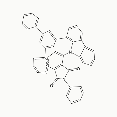 O=C1c2cccc(-n3c4ccccc4c4cccc(-c5cc(-c6ccccc6)cc(-c6ccccc6)c5)c43)c2C(=O)N1c1ccccc1